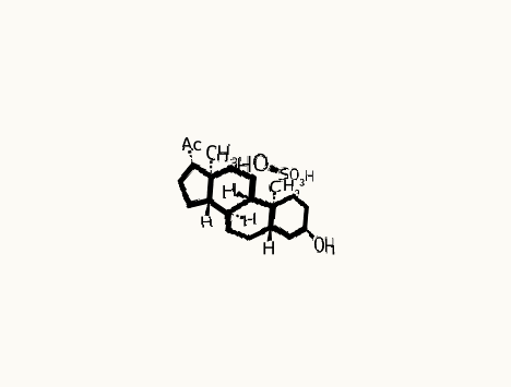 CC(=O)[C@H]1CC[C@H]2[C@@H]3CC[C@H]4C[C@H](O)CC[C@]4(C)[C@H]3CC[C@]12C.O=S(=O)(O)O